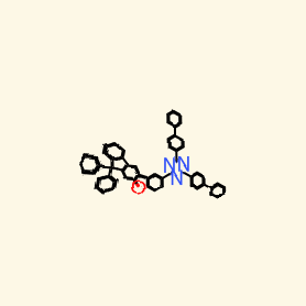 c1ccc(-c2ccc(-c3nc(-c4ccc(-c5ccccc5)cc4)nc(-c4ccc5oc6cc7c(cc6c5c4)-c4ccccc4C7(c4ccccc4)c4ccccc4)n3)cc2)cc1